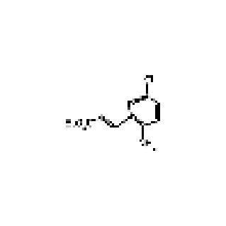 CCOC(=O)/C=C/c1cc(Cl)ccc1N